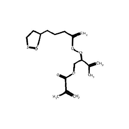 C=C(CCCC1CCSS1)OOC(COC(=O)C(=C)C)C(=C)C